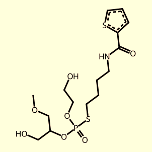 COCC(CO)OP(=O)(OCCO)SCCCCNC(=O)c1cccs1